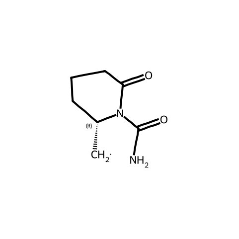 [CH2][C@@H]1CCCC(=O)N1C(N)=O